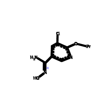 CC(C)Oc1ncc(/C(N)=N/O)cc1Cl